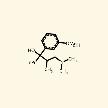 CCCC(O)(c1cccc(OC)c1)C(C)CN(C)C.Cl